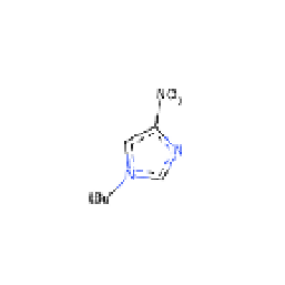 [CH2]C(C)(C)n1cnc([N+](=O)[O-])c1